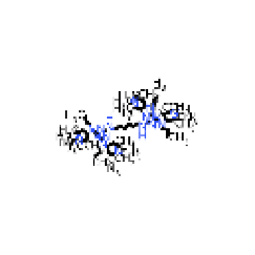 CCCCN(c1nc(NCCCCCCNc2nc(N(CCCC)C3CC(C)(C)N(C)C(C)(C)C3)nc(N(CCCC)C3CC(C)(C)N(C)C(C)(C)C3)n2)nc(N(CCCC)C2CC(C)(C)N(C)C(C)(C)C2)n1)C1CC(C)(C)N(C)C(C)(C)C1